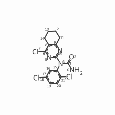 NC(=O)N(c1nc(Cl)c2c(n1)CCCC2)c1cc(Cl)ccc1Cl